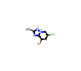 CC(C)(C)c1nc2c(Br)cc(Cl)cn2n1